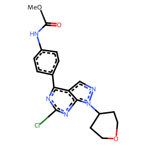 COC(=O)Nc1ccc(-c2nc(Cl)nc3c2cnn3C2CCOCC2)cc1